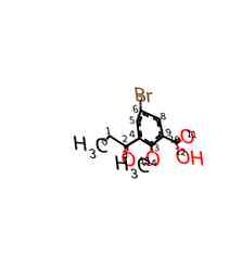 CCC(=O)c1cc(Br)cc(C(=O)O)c1OC